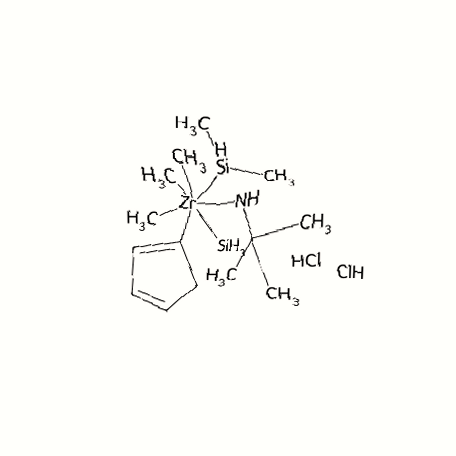 C[SiH](C)[Zr]([CH3])([CH3])([CH3])([SiH3])([NH]C(C)(C)C)[C]1=CC=CC1.Cl.Cl